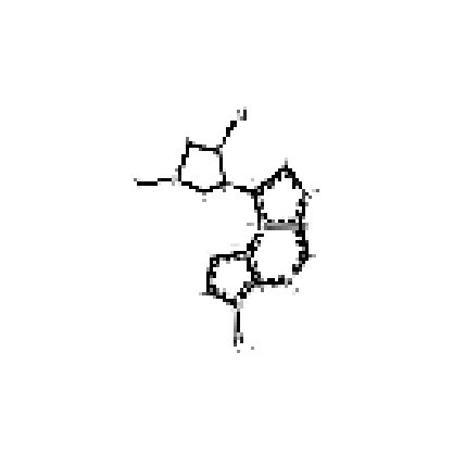 CC[C@@H]1CN(C)C[C@@H]1c1cnc2cnc3c(ccn3P)n12